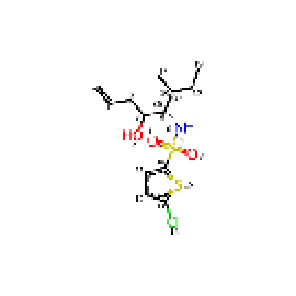 C=CCC(O)[C@@H](NS(=O)(=O)c1ccc(Cl)s1)[C@@H](C)CC